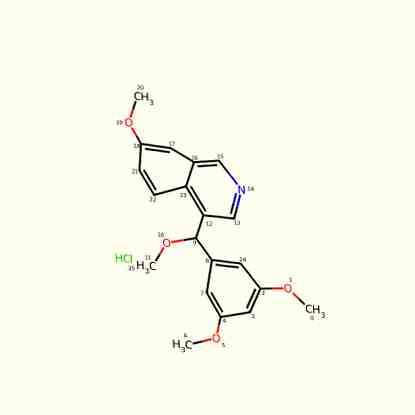 COc1cc(OC)cc(C(OC)c2cncc3cc(OC)ccc23)c1.Cl